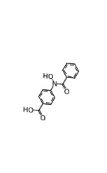 O=C(O)c1ccc(N(O)C(=O)c2ccccc2)cc1